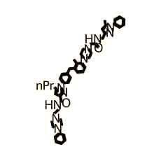 CCCc1cc(C(=O)NCCN2CCN(c3ccccc3)CC2)nn1-c1ccc(Cc2cccc(N3CCN(CC(=O)NCc4cc(C)n(-c5ccccc5)n4)CC3)c2C)cc1